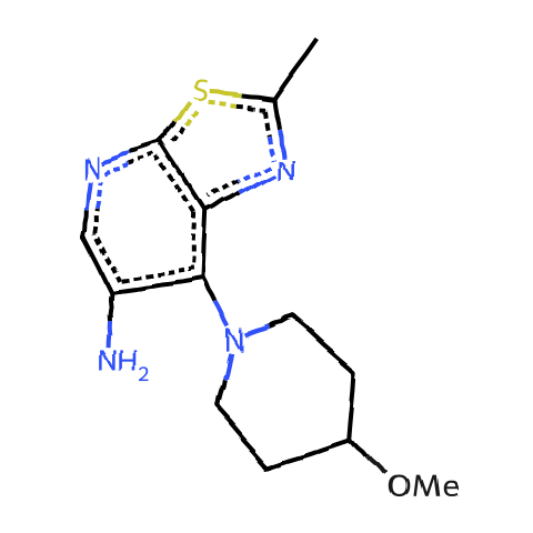 COC1CCN(c2c(N)cnc3sc(C)nc23)CC1